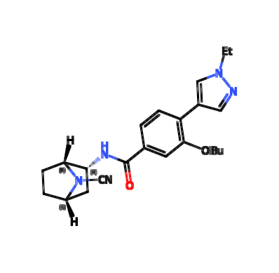 CCn1cc(-c2ccc(C(=O)N[C@@H]3C[C@@H]4CC[C@H]3N4C#N)cc2OCC(C)C)cn1